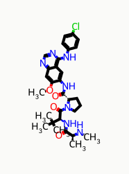 CN[C@@H](C)C(=O)N[C@H](C(=O)N1CCC[C@H]1C(=O)Nc1cc2c(Nc3ccc(Cl)cc3)ncnc2cc1OC)C(C)(C)C